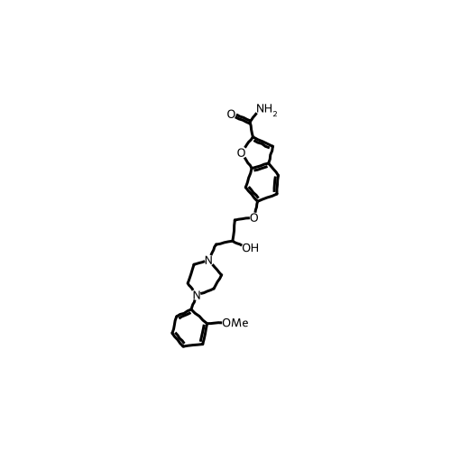 COc1ccccc1N1CCN(CC(O)COc2ccc3cc(C(N)=O)oc3c2)CC1